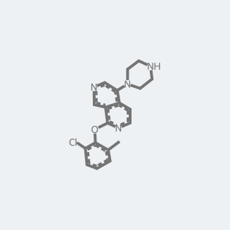 Cc1cccc(Cl)c1Oc1nccc2c(N3CCNCC3)cncc12